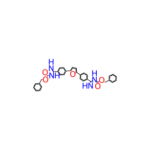 N=C(NC(=O)OCc1ccccc1)c1ccc(-c2ccc(-c3ccc(C(=N)NC(=O)OCc4ccccc4)cc3)o2)cc1